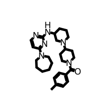 Cc1ccc(C(=O)N2CCC(N3CCCC(Nc4nccc(N5CCCCCC5)n4)C3)CC2)cc1